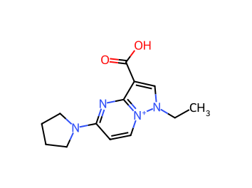 CCn1cc(C(=O)O)c2nc(N3CCCC3)cc[n+]21